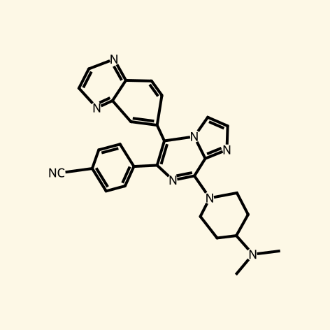 CN(C)C1CCN(c2nc(-c3ccc(C#N)cc3)c(-c3ccc4nccnc4c3)n3ccnc23)CC1